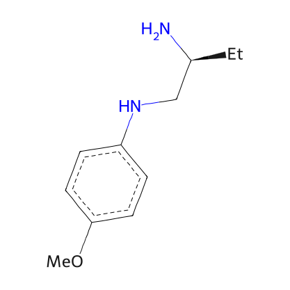 CC[C@H](N)CNc1ccc(OC)cc1